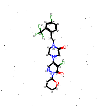 O=C1CN(c2cnn(C3CCCCO3)c(=O)c2Cl)CCN1CCc1ccc(F)cc1C(F)(F)F